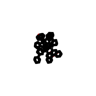 c1ccc(-c2cccc(N(c3cccc(-c4ccccc4)c3)c3ccc4c(c3)C(c3ccccc3)(C3(c5ccccc5)c5ccccc5-c5ccc(N(c6cccc(-c7ccccc7)c6)c6cccc(-c7ccccc7)c6)cc53)c3ccccc3-4)c2)cc1